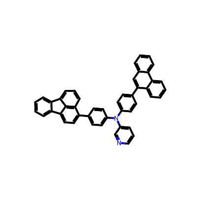 c1cncc(N(c2ccc(-c3ccc4c5c(cccc35)-c3ccccc3-4)cc2)c2ccc(-c3cc4ccccc4c4ccccc34)cc2)c1